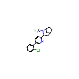 CN1C2CCC(C2)CC1c1ccc(-c2ccccc2Cl)cn1